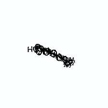 O=P(O)(O)OCCOCCOCCOCCOc1cccc2ccccc12